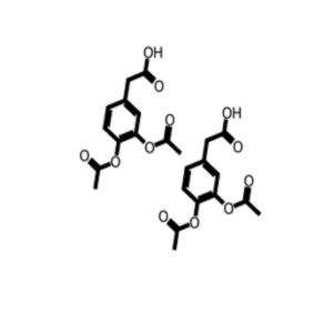 CC(=O)Oc1ccc(CC(=O)O)cc1OC(C)=O.CC(=O)Oc1ccc(CC(=O)O)cc1OC(C)=O